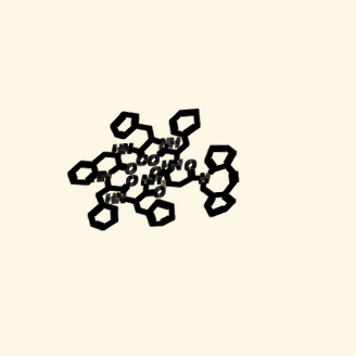 NC(=O)C(Cc1ccccc1)NC(=O)C(Cc1ccccc1)NC(=O)C(Cc1ccccc1)NC(=O)C(Cc1ccccc1)NC(=O)C(Cc1ccccc1)NC(=O)CCC(=O)N1Cc2ccccc2C#Cc2ccccc21